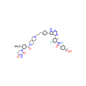 COc1ccc(C(=O)N2CCC3(CCN(CCCc4ccc(-c5cc6c(-c7cc(F)cc(NC(=O)c8ccc(C(C)(C)O)cc8F)c7C)ncnc6[nH]5)cc4)CC3)CC2)cc1N1CCC(=O)NC1=O